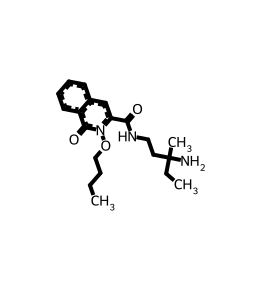 CCCCOn1c(C(=O)NCCC(C)(N)CC)cc2ccccc2c1=O